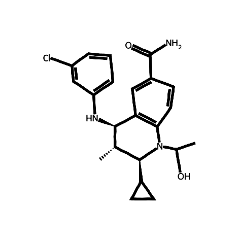 CC(O)N1c2ccc(C(N)=O)cc2[C@H](Nc2cccc(Cl)c2)[C@@H](C)[C@@H]1C1CC1